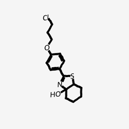 OC12CCCCC1SC(c1ccc(OCCCCl)cc1)=N2